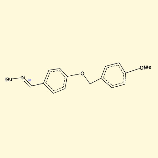 CCC(C)/N=C/c1ccc(OCc2ccc(OC)cc2)cc1